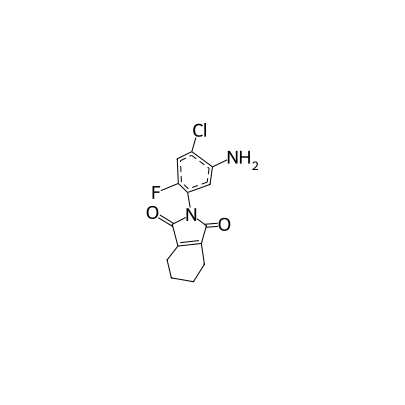 Nc1cc(N2C(=O)C3=C(CCCC3)C2=O)c(F)cc1Cl